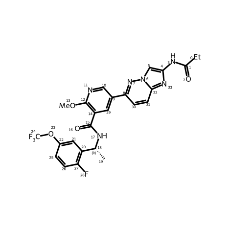 CCC(=O)Nc1cn2nc(-c3cnc(OC)c(C(=O)N[C@H](C)c4cc(OC(F)(F)F)ccc4F)c3)ccc2n1